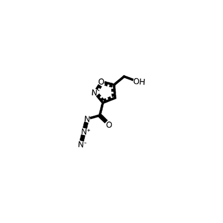 [N-]=[N+]=NC(=O)c1cc(CO)on1